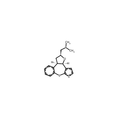 CN(C)C[C@@H]1C[C@@H]2c3ccccc3Sc3sccc3[C@@H]2O1